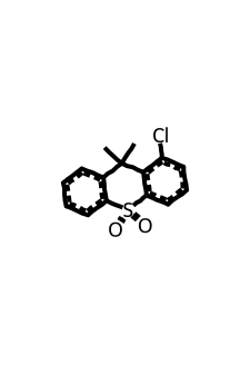 CC1(C)c2ccccc2S(=O)(=O)c2cccc(Cl)c21